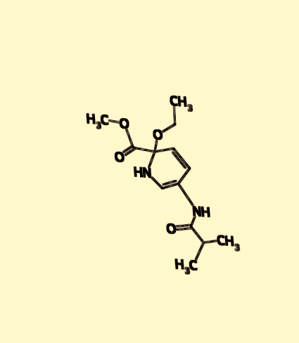 CCOC1(C(=O)OC)C=CC(NC(=O)C(C)C)=CN1